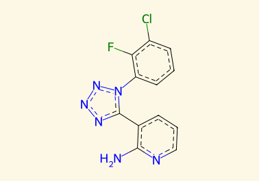 Nc1ncccc1-c1nnnn1-c1cccc(Cl)c1F